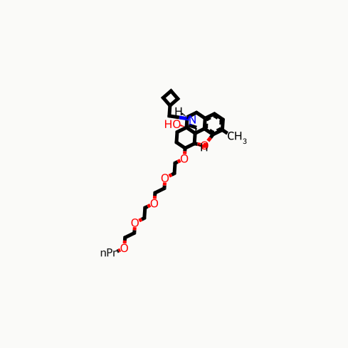 CCCOCCOCCOCCOCCOC1CC[C@@]2(O)[C@H]3Cc4ccc(C)c5c4[C@@]2(CCN3CC2CCC2)[C@H]1O5